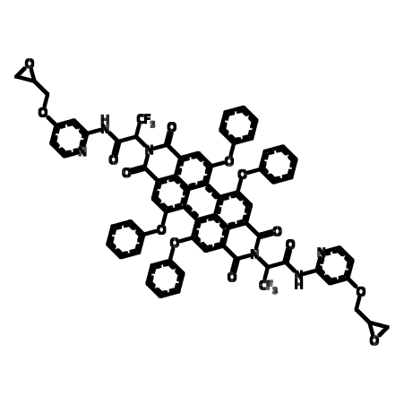 O=C(Nc1cc(OCC2CO2)ccn1)C(N1C(=O)c2cc(Oc3ccccc3)c3c4c(Oc5ccccc5)cc5c6c(cc(Oc7ccccc7)c(c7c(Oc8ccccc8)cc(c2c37)C1=O)c64)C(=O)N(C(C(=O)Nc1cc(OCC2CO2)ccn1)C(F)(F)F)C5=O)C(F)(F)F